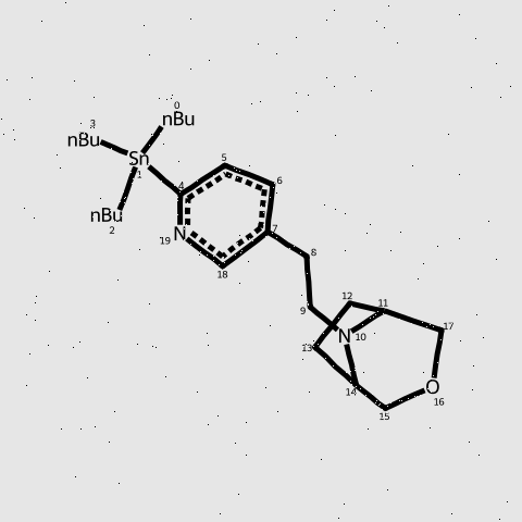 CCC[CH2][Sn]([CH2]CCC)([CH2]CCC)[c]1ccc(CCN2C3CCC2COC3)cn1